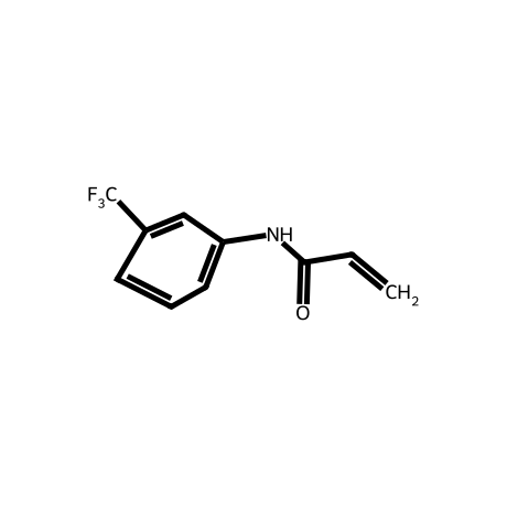 C=CC(=O)Nc1cccc(C(F)(F)F)c1